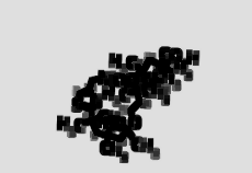 CN(O)Cc1csc(C(C)(C)CC(C)(C)CC(C)(C)OCCC(C)(C)OC(C)(C)CC(C)(C)C(=O)O)n1